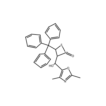 Cc1nc(C)c(C(O)C2C(C(c3ccccc3)(c3ccccc3)c3ccccc3)S[N+]2=O)o1